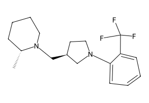 C[C@@H]1CCCCN1C[C@H]1CCN(c2ccccc2C(F)(F)F)C1